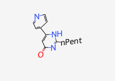 CCCCCc1nc(=O)cc(-c2ccncc2)[nH]1